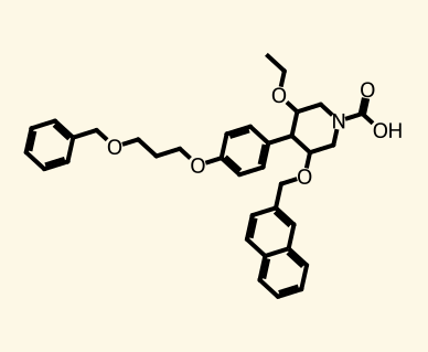 CCOC1CN(C(=O)O)CC(OCc2ccc3ccccc3c2)C1c1ccc(OCCCOCc2ccccc2)cc1